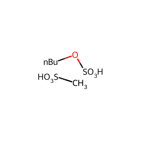 CCCCOS(=O)(=O)O.CS(=O)(=O)O